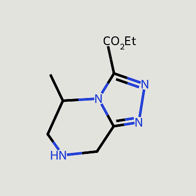 CCOC(=O)c1nnc2n1C(C)CNC2